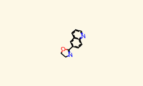 c1cnc2ccc(C3=NCCO3)cc2c1